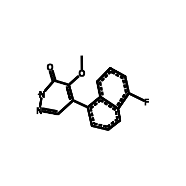 COC1=C(c2cccc3c(F)cccc23)C=N[N]C1=O